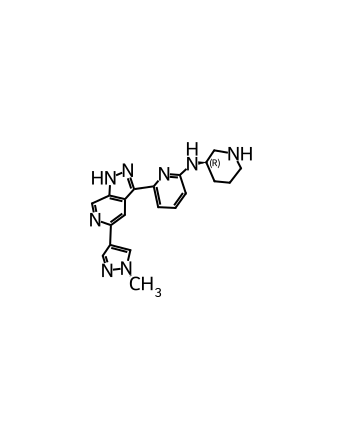 Cn1cc(-c2cc3c(-c4cccc(N[C@@H]5CCCNC5)n4)n[nH]c3cn2)cn1